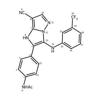 CC(=O)Nc1ccc(-c2[nH]c3c(C#N)cnn3c2Nc2cccc(C(F)(F)F)c2)cc1